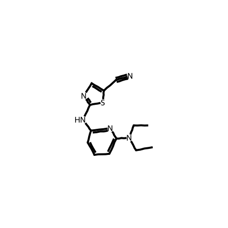 CCN(CC)c1cccc(Nc2ncc(C#N)s2)n1